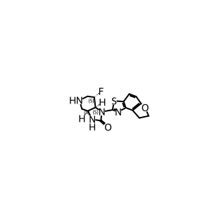 O=C1N[C@H]2CNC[C@H](F)[C@H]2N1c1nc2c3c(ccc2s1)OCC3